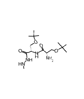 CNNC(=O)[C@H](COC(C)(C)C)NC(=O)[C@@H](N)COC(C)(C)C